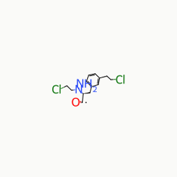 NN(CCCl)[C@H]([C]=O)Cc1cccc(CCCl)c1